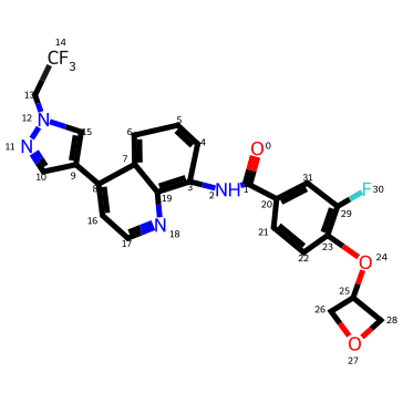 O=C(Nc1cccc2c(-c3cnn(CC(F)(F)F)c3)ccnc12)c1ccc(OC2COC2)c(F)c1